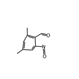 Cc1cc(C)c(C=O)c(N=O)c1